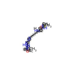 CC(=O)c1c(C)c2cnc(Nc3ccc(N4CCN(CCCCCCCCCCNc5cccc(C(=O)Nc6nc(C)c(C)s6)c5C)CC4)cn3)nc2n(C2CCCC2)c1=O